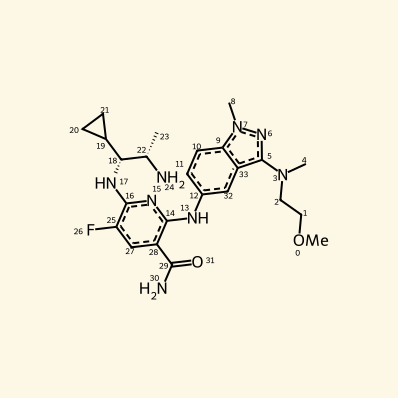 COCCN(C)c1nn(C)c2ccc(Nc3nc(N[C@H](C4CC4)[C@H](C)N)c(F)cc3C(N)=O)cc12